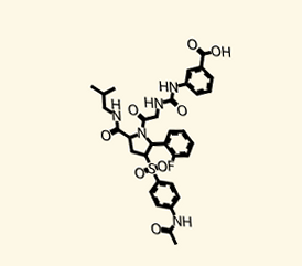 CC(=O)Nc1ccc(S(=O)(=O)C2CC(C(=O)NCC(C)C)N(C(=O)CNC(=O)Nc3cccc(C(=O)O)c3)C2c2ccccc2F)cc1